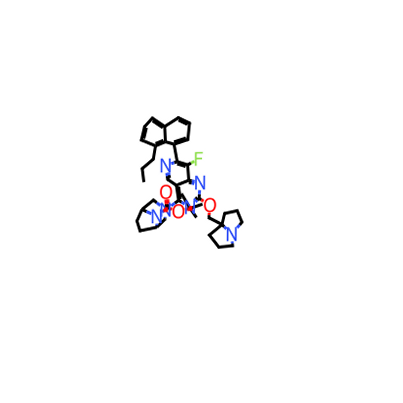 CCCc1cccc2cccc(-c3ncc4c(N5CC6CCC(C5)N6C(=O)OC(C)(C)C)nc(OCC56CCCN5CCC6)nc4c3F)c12